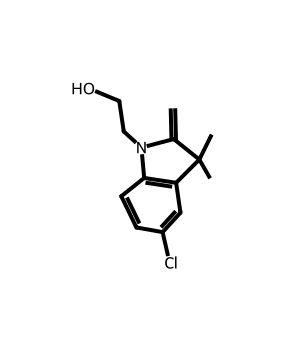 C=C1N(CCO)c2ccc(Cl)cc2C1(C)C